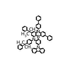 CC(C)(c1ccccc1)c1ccc(N2c3cc(-n4c5ccccc5c5ccccc54)ccc3B3c4cc(-c5ccccc5)ccc4N(c4ccc(-c5ccccc5)cc4)c4cc(C(C)(C)c5ccccc5)cc2c43)cc1